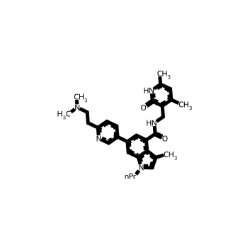 CCCn1cc(C)c2c(C(=O)NCc3c(C)cc(C)[nH]c3=O)cc(-c3ccc(CCN(C)C)nc3)cc21